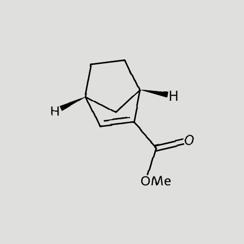 COC(=O)C1=C[C@@H]2CC[C@H]1C2